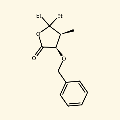 CCC1(CC)OC(=O)[C@H](OCc2ccccc2)[C@@H]1C